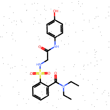 CCN(CC)C(=O)c1ccccc1S(=O)(=O)NCC(=O)Nc1ccc(O)cc1